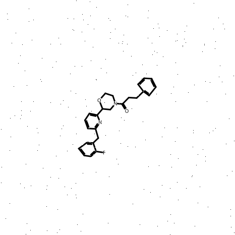 O=C(CCc1ccccc1)N1CCOC(c2cccc(Cc3ccccc3F)n2)C1